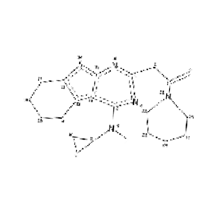 C=C(Cc1nc(N(C)C2CC2)c2c3c(sc2n1)CCCC3)N1CCCCC1